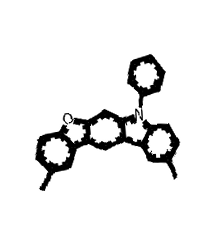 Cc1ccc2oc3cc4c(cc3c2c1)c1cc(C)ccc1n4-c1ccccc1